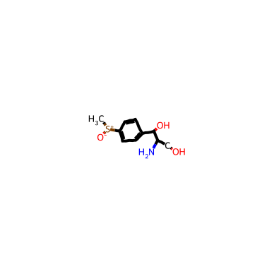 C[S+]([O-])c1ccc(C(O)C(N)CO)cc1